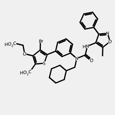 Cc1onc(-c2ccccc2)c1NC(=O)N(CC1CCCCC1)c1cccc(-c2sc(C(=O)O)c(OCC(=O)O)c2Br)c1